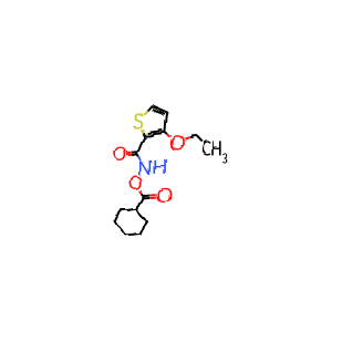 CCOc1ccsc1C(=O)NOC(=O)C1CCCCC1